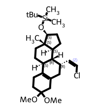 COC1(OC)CCC2=C(C[C@@H](/C=C\Cl)[C@@H]3[C@@H]2CC[C@]2(C)[C@@H](O[Si](C)(C)C(C)(C)C)CC[C@@H]32)C1